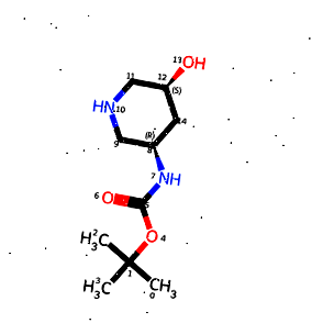 CC(C)(C)OC(=O)N[C@H]1CNC[C@@H](O)C1